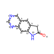 O=C1Cc2cc3cncnc3cc2N1